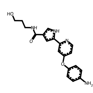 Nc1ccc(Oc2ccnc(-c3cc(C(=O)NCCCO)c[nH]3)c2)cc1